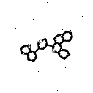 c1cc(-c2nc3ccccc3c3c2ccc2ccccc23)cc(-c2cccc3cccnc23)c1